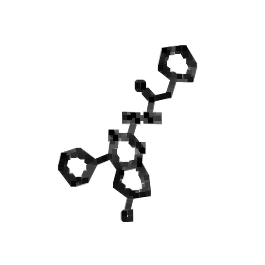 O=C(Cc1ccccc1)NNc1nc(-c2ccccc2)c2cc(Cl)ccc2n1